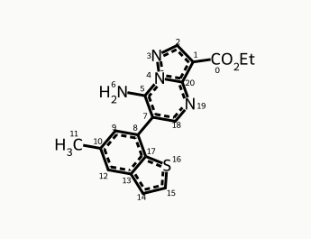 CCOC(=O)c1cnn2c(N)c(-c3cc(C)cc4ccsc34)cnc12